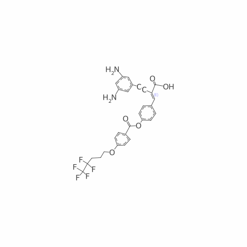 Nc1cc(N)cc(CC/C(=C\c2ccc(OC(=O)c3ccc(OCCCC(F)(F)C(F)(F)F)cc3)cc2)C(=O)O)c1